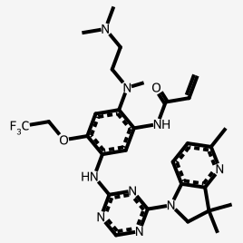 C=CC(=O)Nc1cc(Nc2ncnc(N3CC(C)(C)c4nc(C)ccc43)n2)c(OCC(F)(F)F)cc1N(C)CCN(C)C